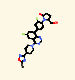 CC(C)c1nc(C2CCN(c3ncnc4c(-c5ccc(N6C(=O)CC[C@H]6CO)c(F)c5)cc(F)cc34)CC2)no1